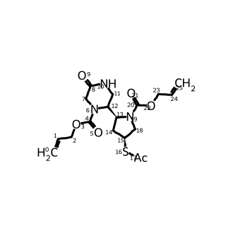 C=CCOC(=O)N1CC(=O)NCC1[C@@H]1C[C@H](SC(C)=O)CN1C(=O)OCC=C